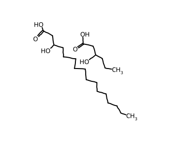 CCCC(O)CC(=O)O.CCCCCCCCCCCCCC(O)CC(=O)O